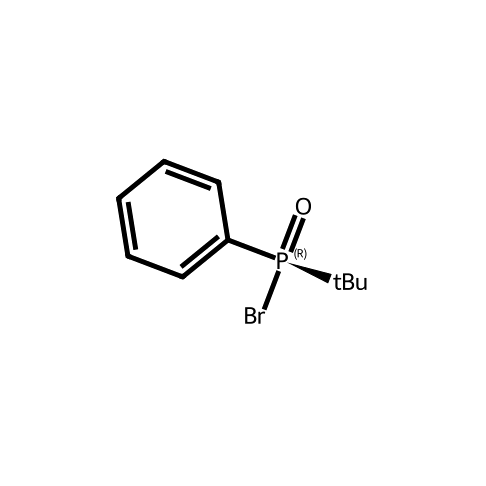 CC(C)(C)[P@@](=O)(Br)c1ccccc1